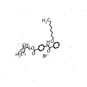 CCCCCCCCOc1ccccc1C(=O)Nc1ccc(C(=O)OCC[N+](C)(CC)CC)cc1.[Br-]